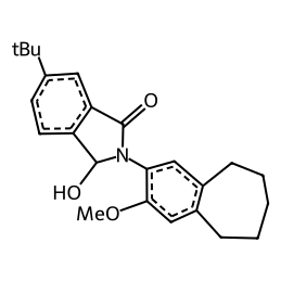 COc1cc2c(cc1N1C(=O)c3cc(C(C)(C)C)ccc3C1O)CCCCC2